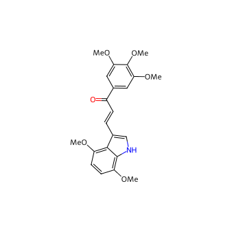 COc1cc(C(=O)/C=C/c2c[nH]c3c(OC)ccc(OC)c23)cc(OC)c1OC